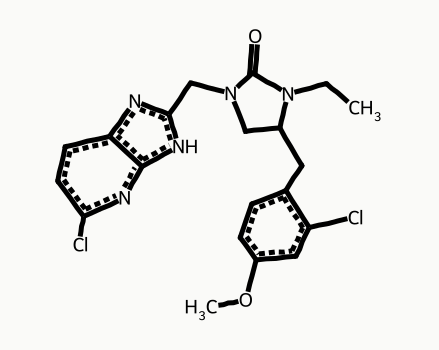 CCN1C(=O)N(Cc2nc3ccc(Cl)nc3[nH]2)CC1Cc1ccc(OC)cc1Cl